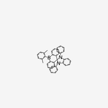 Cc1cccc(C)c1B1c2ccccc2C2(c3ccccc31)N(c1ccccc1)c1ccccc1N2c1ccccc1